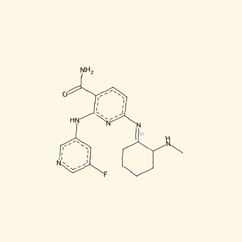 CNC1CCCC/C1=N\c1ccc(C(N)=O)c(Nc2cncc(F)c2)n1